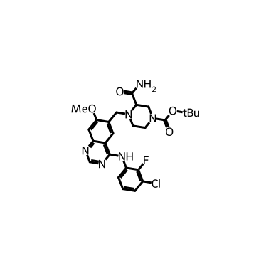 COc1cc2ncnc(Nc3cccc(Cl)c3F)c2cc1CN1CCN(C(=O)OC(C)(C)C)CC1C(N)=O